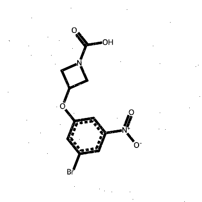 O=C(O)N1CC(Oc2cc(Br)cc([N+](=O)[O-])c2)C1